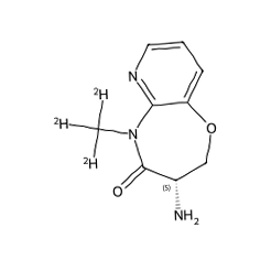 [2H]C([2H])([2H])N1C(=O)[C@@H](N)COc2cccnc21